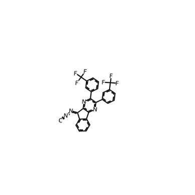 [C-]#[N+]/N=C1\c2ccccc2-c2nc(-c3cccc(C(F)(F)F)c3)c(-c3cccc(C(F)(F)F)c3)nc21